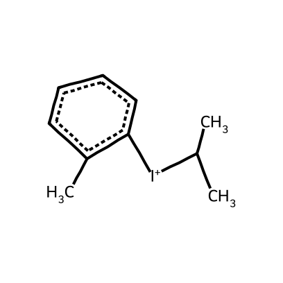 Cc1ccccc1[I+]C(C)C